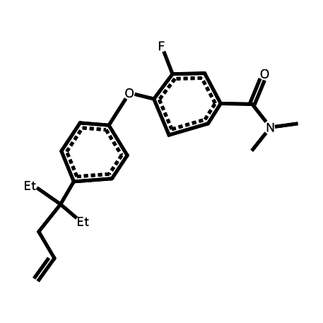 C=CCC(CC)(CC)c1ccc(Oc2ccc(C(=O)N(C)C)cc2F)cc1